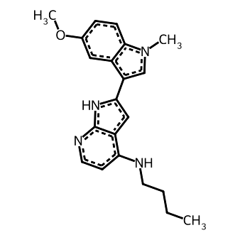 CCCCNc1ccnc2[nH]c(-c3cn(C)c4ccc(OC)cc34)cc12